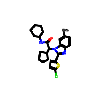 COc1ccc2nc(-c3ccc(Cl)s3)n(C(C(=O)NC3CCCCC3)C3CCCC3)c2c1